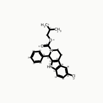 CC(C)COC(=O)N1CCc2c([nH]c3ccc(Cl)cc23)C1c1ccccc1